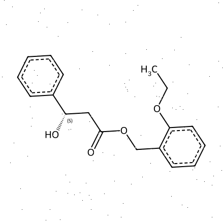 CCOc1ccccc1COC(=O)C[C@H](O)c1ccccc1